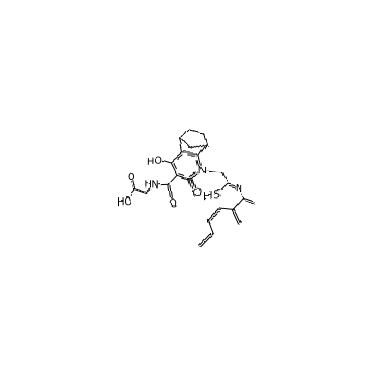 C=C/C=C\C(=C)C(=C)/N=C(\S)Cn1c2c(c(O)c(C(=O)NCC(=O)O)c1=O)C1CCC2C1